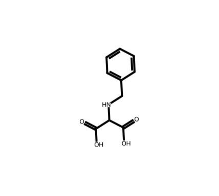 O=C(O)C(NCc1ccccc1)C(=O)O